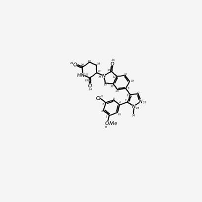 COc1cc(Cl)cc(-c2c(-c3ccc4c(c3)CN(C3CCC(=O)NC3=O)C4=O)cnn2C)c1